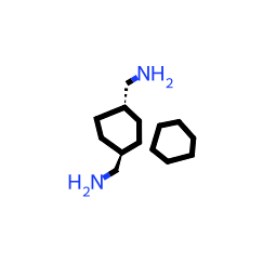 C1CCCCC1.NC[C@H]1CC[C@H](CN)CC1